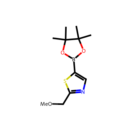 COCc1ncc(B2OC(C)(C)C(C)(C)O2)s1